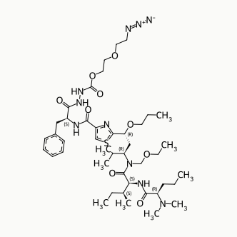 CCCO[C@H](C[C@H](C(C)C)N(COCC)C(=O)[C@@H](NC(=O)[C@@H](CCC)N(C)C)[C@@H](C)CC)c1nc(C(=O)N[C@@H](Cc2ccccc2)C(=O)NNC(=O)OCCOCCN=[N+]=[N-])cs1